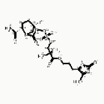 Cc1oc(=O)oc1CCCOC(=O)C(C)(C)COS(=O)(=O)ON1C(=O)N2C[C@H]1CC[C@H]2C(N)=O